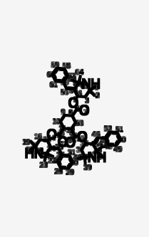 CC1(C)CC(OC(=O)C2CCC(C(=O)OC3CC(C)(C)NC(C)(C)/C3=C\c3ccccc3)C(C(=O)OC3CC(C)(C)NC(C)(C)/C3=C\c3ccccc3)C2)/C(=C/c2ccccc2)C(C)(C)N1